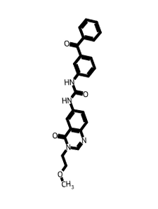 COCCn1cnc2ccc(NC(=O)Nc3cccc(C(=O)c4ccccc4)c3)cc2c1=O